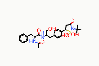 CC(=O)N[C@@H](Cc1ccccc1)C(=O)NC(CO)Cc1ccc(C2CC(=O)N(C(C)(C)C)S2(O)O)cc1